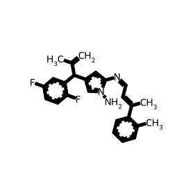 C=C(C)C(c1cc(/N=C\C=C(/C)c2ccccc2C)n(N)c1)c1cc(F)ccc1F